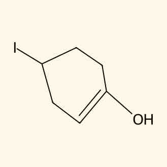 OC1=CCC(I)CC1